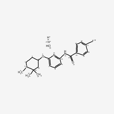 CN1CCC(Oc2cccc(NC(=O)c3ccc(F)cc3)n2)CC1(C)C.Cl.[H+].[H+]